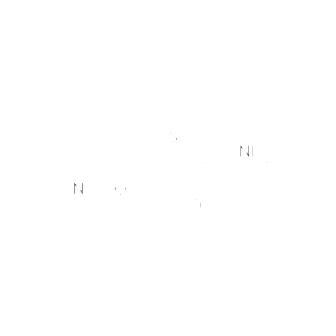 NC(=O)Sc1ccno1